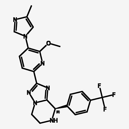 COc1nc(-c2nc3n(n2)CCN[C@@H]3c2ccc(C(F)(F)F)cc2)ccc1-n1cnc(C)c1